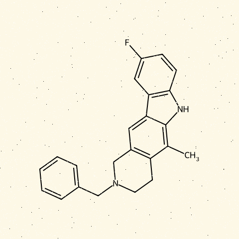 Cc1c2c(cc3c1[nH]c1ccc(F)cc13)CN(Cc1ccccc1)CC2